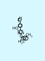 C[C@@]12CC[C@@](C)(N1)[C@H](F)[C@@H](Oc1ncc(-c3ccc(-n4ccnc4)cc3O)nn1)C2